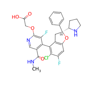 CNC(=O)c1cnc(OCC(=O)O)c(F)c1-c1c(Cl)c(F)cc2c1C[C@](c1ccccc1)(C1CCCN1)O2